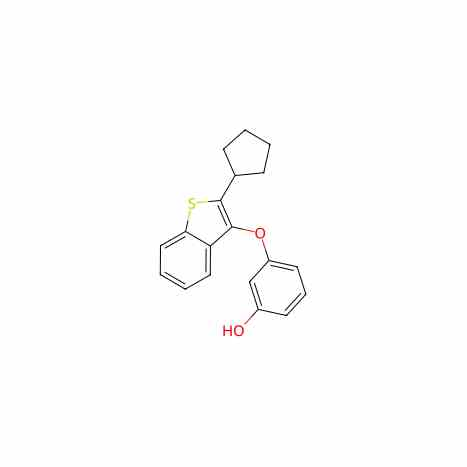 Oc1cccc(Oc2c(C3CCCC3)sc3ccccc23)c1